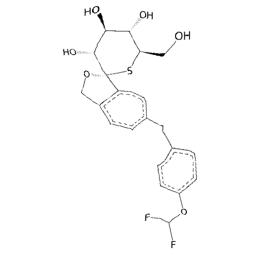 OC[C@H]1S[C@]2(OCc3ccc(Cc4ccc(OC(F)F)cc4)cc32)[C@H](O)[C@@H](O)[C@@H]1O